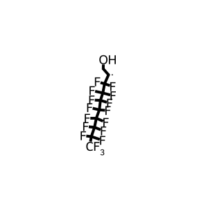 OC[CH]C(F)(F)C(F)(F)C(F)(F)C(F)(F)C(F)(F)C(F)(F)C(F)(F)C(F)(F)F